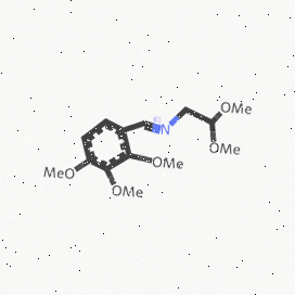 COc1ccc(/C=N/CC(OC)OC)c(OC)c1OC